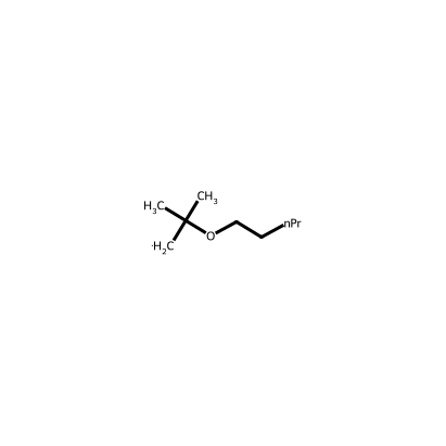 [CH2]C(C)(C)OCCCCC